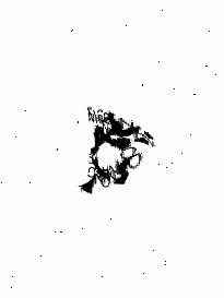 CO[C@@H](C)c1ncc(N2CCN(C)CC2)cc1-c1c2c3cc(ccc3n1CC(F)(F)F)-c1csc(n1)C[C@H](NC(=O)[C@H]1C[C@@H]1C)C(=O)N1CCC[C@H](N1)C(=O)OCC(C)(C)C2